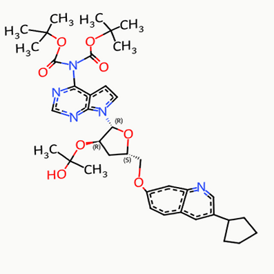 CC(C)(C)OC(=O)N(C(=O)OC(C)(C)C)c1ncnc2c1ccn2[C@@H]1O[C@H](COc2ccc3cc(C4CCCC4)cnc3c2)C[C@H]1OC(C)(C)O